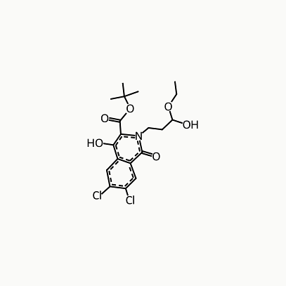 CCOC(O)CCn1c(C(=O)OC(C)(C)C)c(O)c2cc(Cl)c(Cl)cc2c1=O